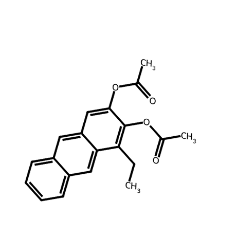 CCc1c(OC(C)=O)c(OC(C)=O)cc2cc3ccccc3cc12